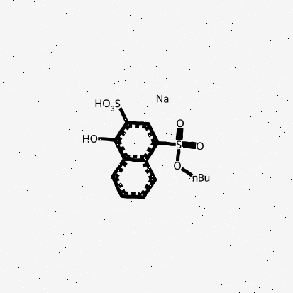 CCCCOS(=O)(=O)c1cc(S(=O)(=O)O)c(O)c2ccccc12.[Na]